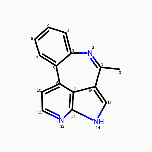 CC1=Nc2ccccc2-c2ccnc3[nH]cc1c23